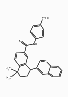 CC1(C)CCC(c2cnc3ccccc3c2)c2cc(C(=O)Nc3ccc(C(=O)O)cc3)ccc21